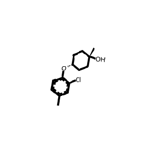 Cc1ccc(O[C@H]2CC[C@@](C)(O)CC2)c(Cl)c1